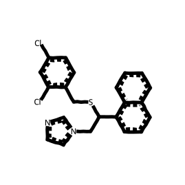 Clc1ccc(CSC(Cn2ccnc2)c2cccc3ccccc23)c(Cl)c1